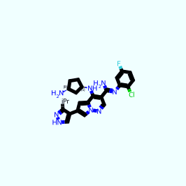 CC(C)c1n[nH]cc1-c1cc2c(N[C@H]3CC[C@@H](N)C3)c(C(N)=Nc3cc(F)ccc3Cl)cnn2c1